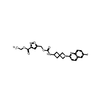 CCOC(=O)c1cc(COC(=O)NC2CC3(C2)CN(c2ccc4cc(F)ccc4n2)C3)on1